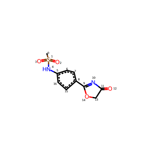 CS(=O)(=O)Nc1ccc(C2=NC(=O)CO2)cc1